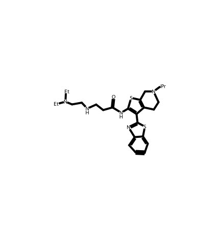 CCN(CC)CCNCCC(=O)Nc1sc2c(c1-c1nc3cc#ccc3s1)CCN(C(C)C)C2